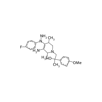 COc1ccc(C(C)(O)CN2CC(C)C(N(N)c3ccc(F)cc3)=C(N)C2C)cc1